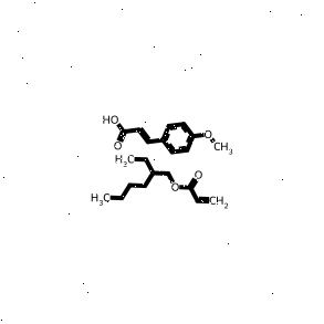 C=CC(=O)OCC(CC)CCCC.COc1ccc(C=CC(=O)O)cc1